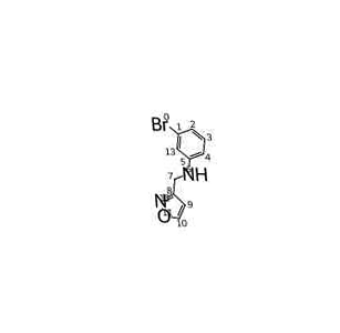 Brc1cccc(NCc2ccon2)c1